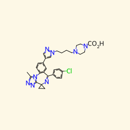 Cc1nnc2n1-c1ccc(-c3cnn(CCCCN4CCN(C(=O)O)CC4)c3)cc1C(c1ccc(Cl)cc1)=NC21CC1